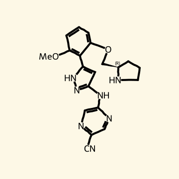 COc1cccc(OC[C@H]2CCCN2)c1-c1cc(Nc2cnc(C#N)cn2)n[nH]1